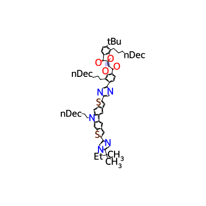 CCCCCCCCCCCCCc1c(-c2cnc(-c3cc4cc5c6cc7cc(-c8cnc(C(C)(C)CC)cn8)sc7cc6n(CCCCCCCCCCCC)c5cc4s3)cn2)ccc2c1O/C(=C1/Oc3c(ccc(C(C)(C)C)c3CCCCCCCCCCCCC)C1=O)C2=O